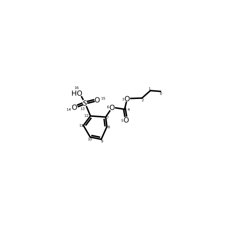 CCCOC(=O)Oc1ccccc1S(=O)(=O)O